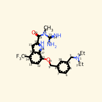 CCN(CC)Cc1cccc(COc2ccc(C(F)(F)F)c3cc(C(=O)N(C)C(=N)N)[nH]c23)c1